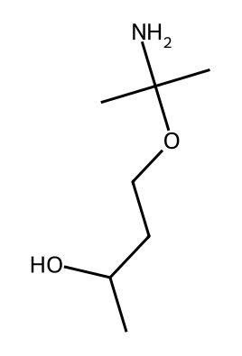 CC(O)CCOC(C)(C)N